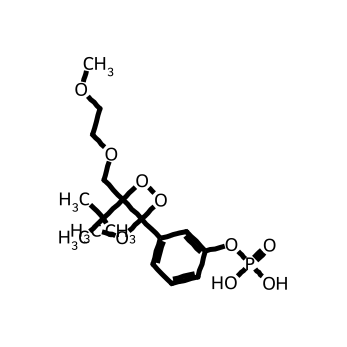 COCCOCC1(C(C)(C)C)OOC1(OC)c1cccc(OP(=O)(O)O)c1